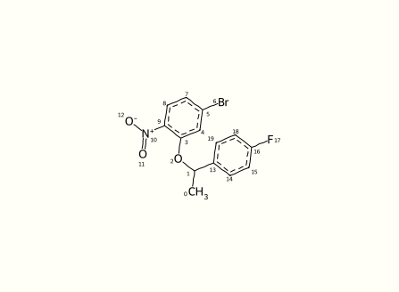 CC(Oc1cc(Br)ccc1[N+](=O)[O-])c1ccc(F)cc1